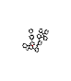 c1ccc(-c2ccc(-c3cccc(N(c4cccc(-c5cccc6c5-c5ccccc5C6(c5ccccc5)c5ccccc5)c4)c4ccccc4-c4ccc5c(c4)oc4ccccc45)c3)cc2)cc1